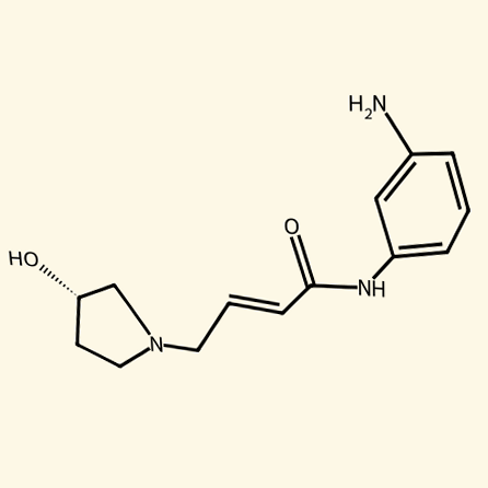 Nc1cccc(NC(=O)/C=C/CN2CC[C@H](O)C2)c1